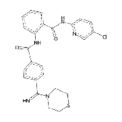 N=C(c1ccc(C(=O)Nc2ccccc2C(=O)Nc2ccc(Cl)cn2)cc1)N1CCSCC1